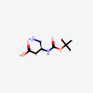 CC(C)(C)OC(=O)N[C@H](CN)CC(=O)O